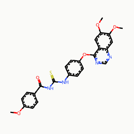 COc1ccc(C(=O)NC(=S)Nc2ccc(Oc3ncnc4cc(OC)c(OC)cc34)cc2)cc1